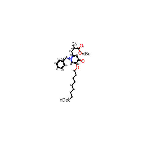 CCCCCCCCCCCCCCCCCCOc1cn(Cc2ccccc2)c(CC(C#N)C(=O)OC(C)(C)C)cc1=O